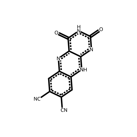 N#Cc1cc2nc3c(=O)[nH]c(=O)nc-3[nH]c2cc1C#N